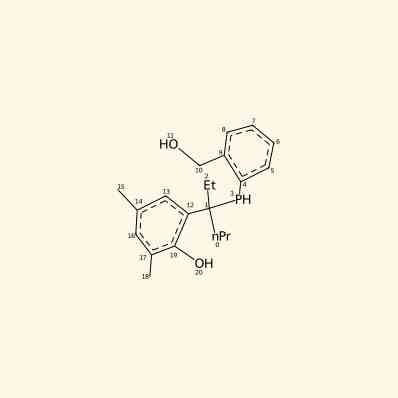 CCCC(CC)(Pc1ccccc1CO)c1cc(C)cc(C)c1O